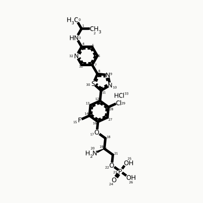 CC(C)Nc1ccc(-c2nnc(-c3cc(F)c(OC[C@H](N)COP(=O)(O)O)cc3Cl)s2)cn1.Cl